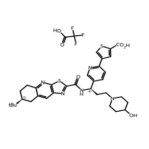 CC(C)(C)[C@H]1CCc2nc3sc(C(=O)N[C@H](CCN4CCC(O)CC4)c4ccc(-c5csc(C(=O)O)c5)nc4)nc3cc2C1.O=C(O)C(F)(F)F